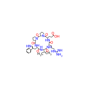 CC(C)C1NC(=O)C(Cc2c[nH]c3ccccc23)NC(=O)C2CCCN2C(=O)C2CCCN2C(=O)C(CCC(=O)O)NC(=O)C(CCCNC(=N)N)NC1=O